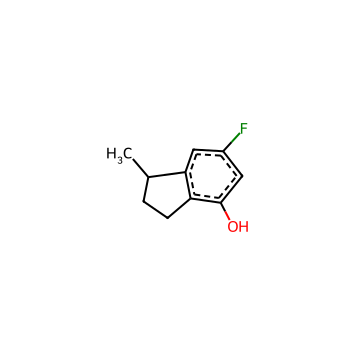 CC1CCc2c(O)cc(F)cc21